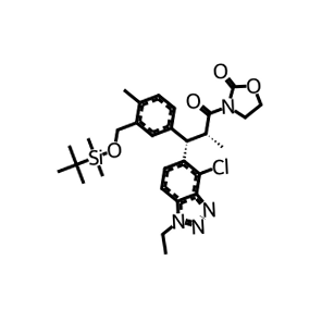 CCn1nnc2c(Cl)c([C@H](c3ccc(C)c(CO[Si](C)(C)C(C)(C)C)c3)[C@@H](C)C(=O)N3CCOC3=O)ccc21